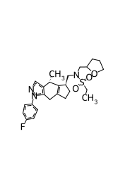 CCS(=O)(=O)N(CC1CCCO1)C[C@H]1CCC2=C1[C@@H](C)c1cnn(-c3ccc(F)cc3)c1C2